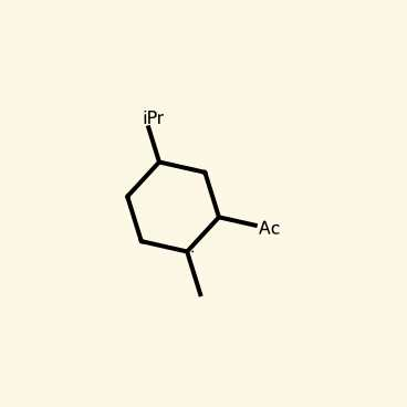 C[C]1CCC(C(C)C)CC1C(C)=O